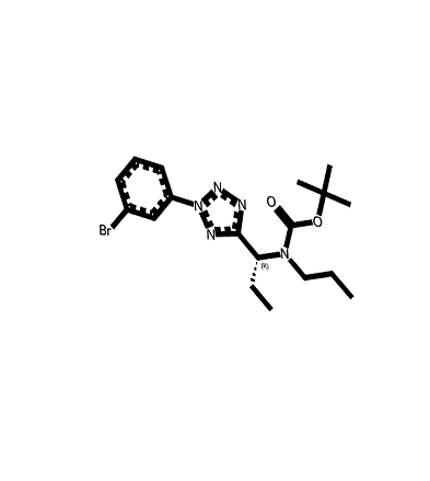 CCCN(C(=O)OC(C)(C)C)[C@H](CC)c1nnn(-c2cccc(Br)c2)n1